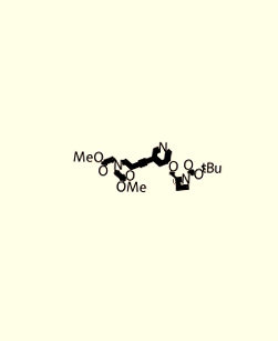 COC(=O)CN(CCC#Cc1cncc(OC[C@@H]2CCN2C(=O)OC(C)(C)C)c1)CC(=O)OC